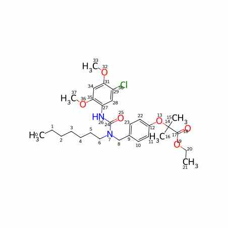 CCCCCCCN(Cc1ccc(OC(C)(C)C(=O)OCC)cc1)C(=O)Nc1cc(Cl)c(OC)cc1OC